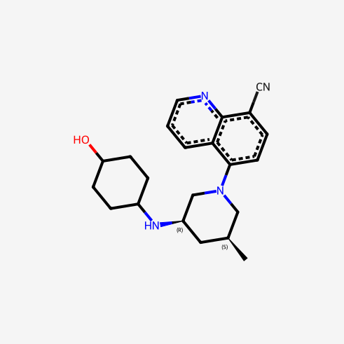 C[C@H]1C[C@@H](NC2CCC(O)CC2)CN(c2ccc(C#N)c3ncccc23)C1